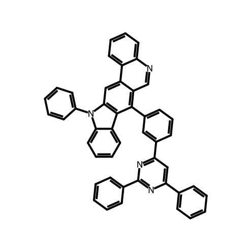 c1ccc(-c2cc(-c3cccc(-c4c5cnc6ccccc6c5cc5c4c4ccccc4n5-c4ccccc4)c3)nc(-c3ccccc3)n2)cc1